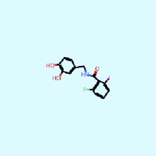 O=C(NCc1ccc(O)c(O)c1)c1c(F)cccc1I